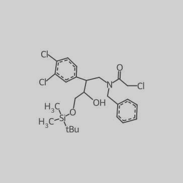 CC(C)(C)[Si](C)(C)OCC(O)C(CN(Cc1ccccc1)C(=O)CCl)c1ccc(Cl)c(Cl)c1